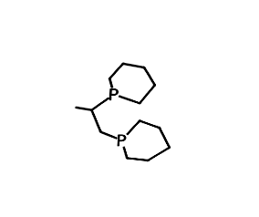 CC(CP1CCCCC1)P1CCCCC1